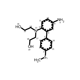 CSc1ccc(-c2cc(N)ccc2N(CCO)CCO)cc1